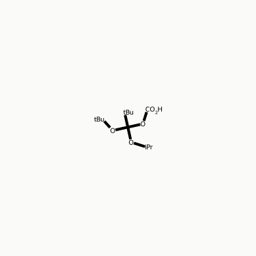 CC(C)OC(OC(=O)O)(OC(C)(C)C)C(C)(C)C